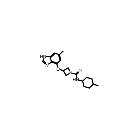 Cc1cc(OC2CN(C(=O)NC3CCC(C)CC3)C2)c2nc[nH]c2c1